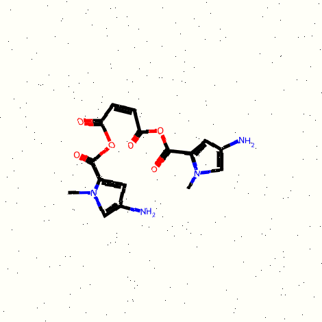 Cn1cc(N)cc1C(=O)OC(=O)/C=C\C(=O)OC(=O)c1cc(N)cn1C